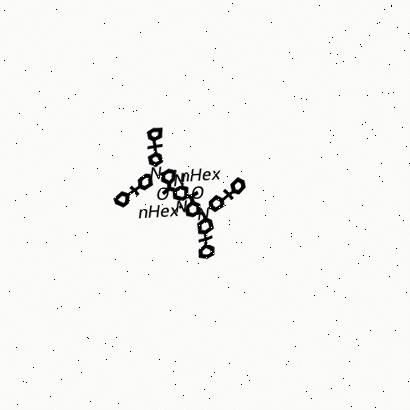 CCCCCCn1c2ccc(N(c3ccc(C(C)(C)c4ccccc4)cc3)c3ccc(C(C)(C)c4ccccc4)cc3)cc2c(=O)c2cc3c(cc21)c(=O)c1cc(N(c2ccc(C(C)(C)c4ccccc4)cc2)c2ccc(C(C)(C)c4ccccc4)cc2)ccc1n3CCCCCC